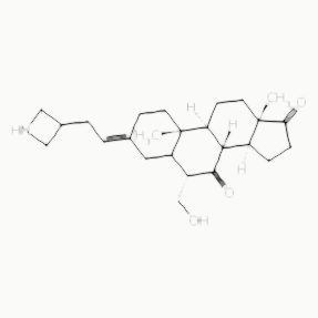 C[C@]12CCC(=CCC3CNC3)CC1[C@@H](CO)C(=O)[C@@H]1[C@@H]2CC[C@]2(C)C(=O)CC[C@@H]12